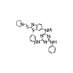 c1ccc(Nc2nc(Nc3ccccc3)nc(Nc3ccc4nc(SCN5CCCC5)sc4c3)n2)cc1